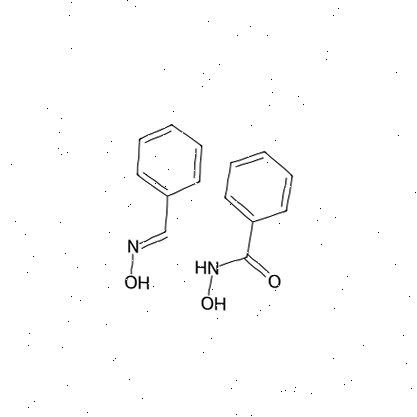 O=C(NO)c1ccccc1.ON=Cc1ccccc1